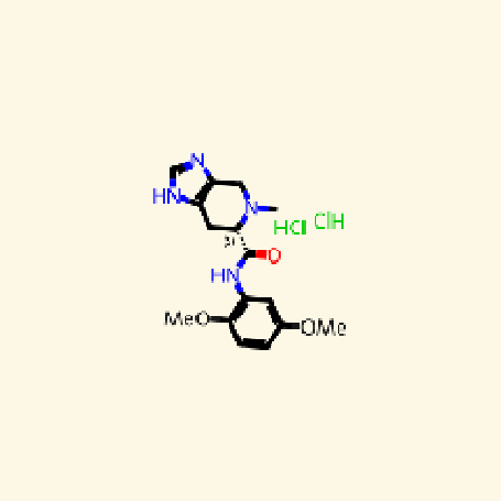 COc1ccc(OC)c(NC(=O)[C@@H]2Cc3[nH]cnc3CN2C)c1.Cl.Cl